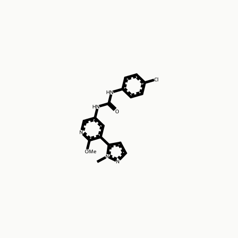 COc1ncc(NC(=O)Nc2ccc(Cl)cc2)cc1-c1ccnn1C